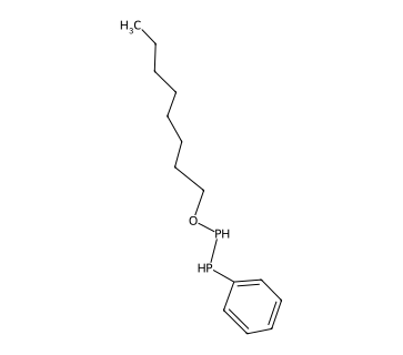 CCCCCCCCOPPc1ccccc1